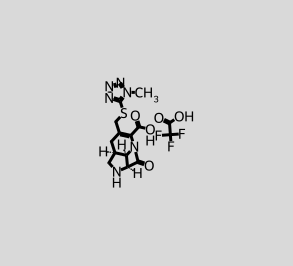 Cn1nnnc1SCC1=C(C(=O)O)N2C(=O)[C@H]3NC[C@@H](C1)[C@H]32.O=C(O)C(F)(F)F